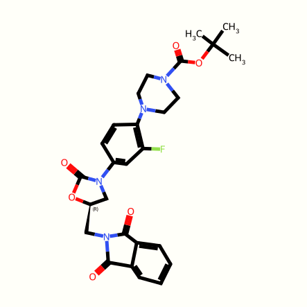 CC(C)(C)OC(=O)N1CCN(c2ccc(N3C[C@@H](CN4C(=O)c5ccccc5C4=O)OC3=O)cc2F)CC1